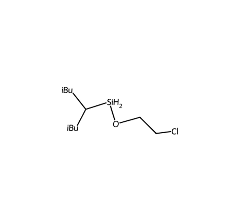 CCC(C)C([SiH2]OCCCl)C(C)CC